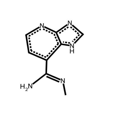 CN=C(N)c1ccnc2nc[nH]c12